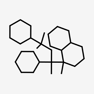 CC(C)(CC(C)(C1CCCCC1)C1(C)CCCC2CCCCC21)C1CCCCC1